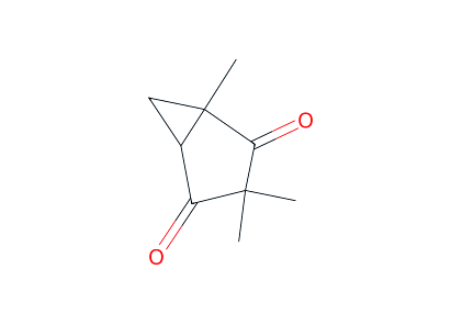 CC1(C)C(=O)C2CC2(C)C1=O